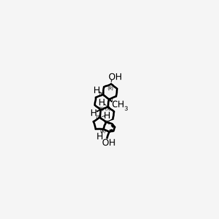 C[C@]12CC[C@@H](O)C[C@@H]1CC[C@@H]1[C@@H]2CC[C@@]23C=CC=C(O)[C@H]2CC[C@@H]13